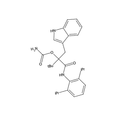 CC(C)c1cccc(C(C)C)c1NC(=O)C(Cc1c[nH]c2ccccc12)(OC(N)=O)C(C)(C)C